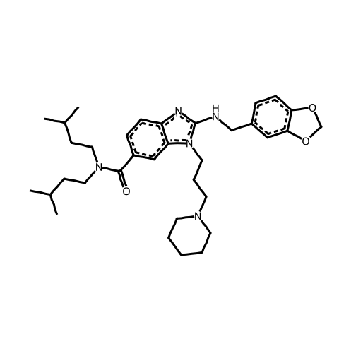 CC(C)CCN(CCC(C)C)C(=O)c1ccc2nc(NCc3ccc4c(c3)OCO4)n(CCCN3CCCCC3)c2c1